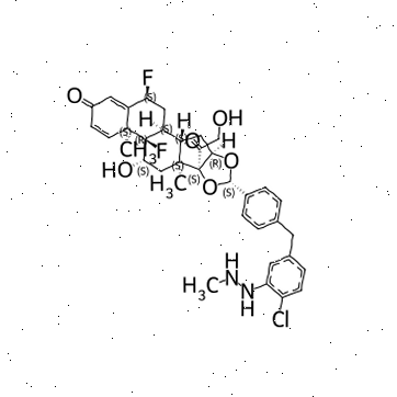 CNNc1cc(Cc2ccc([C@H]3O[C@@H]4C[C@H]5[C@@H]6C[C@H](F)C7=CC(=O)C=C[C@]7(C)[C@@]6(F)[C@@H](O)C[C@]5(C)[C@]4(C(=O)CO)O3)cc2)ccc1Cl